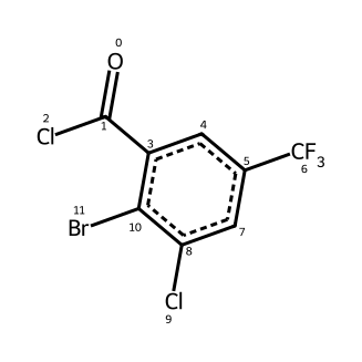 O=C(Cl)c1cc(C(F)(F)F)cc(Cl)c1Br